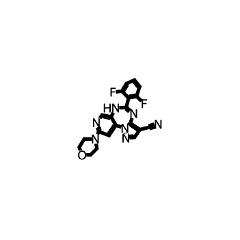 N#Cc1cnn2c1N=C(c1c(F)cccc1F)Nc1cnc(N3CCOCC3)cc1-2